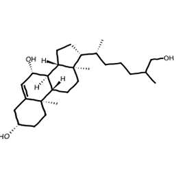 CC(CO)CCC[C@@H](C)[C@H]1CC[C@H]2[C@@H]3[C@@H](O)C=C4C[C@@H](O)CC[C@]4(C)[C@H]3CC[C@]12C